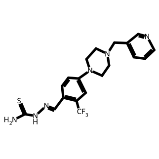 NC(=S)NN=Cc1ccc(N2CCN(Cc3cccnc3)CC2)cc1C(F)(F)F